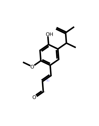 C=C(C)C(C)c1cc(/C=C/[C]=O)c(OC)cc1O